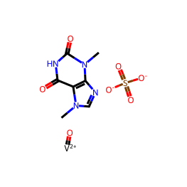 Cn1cnc2c1c(=O)[nH]c(=O)n2C.O=S(=O)([O-])[O-].[O]=[V+2]